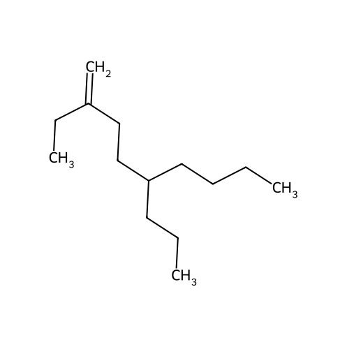 C=C(CC)CCC(CCC)CCCC